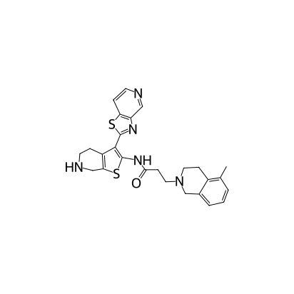 Cc1cccc2c1CCN(CCC(=O)Nc1sc3c(c1-c1nc4cnccc4s1)CCNC3)C2